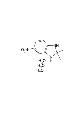 CC1(C)Nc2ccc([N+](=O)[O-])cc2N1.O.O.O